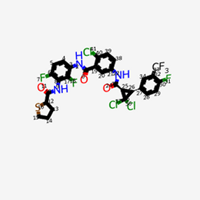 O=C(Nc1ccc(F)c(NC(=O)C2CCCS2)c1F)c1cc(NC(=O)[C@H]2[C@H](c3ccc(F)c(C(F)(F)F)c3)C2(Cl)Cl)ccc1Cl